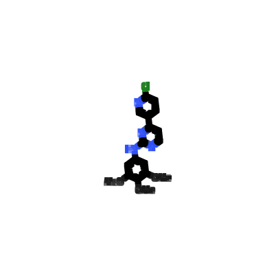 COc1cc(Nc2nccc(-c3ccc(Cl)nc3)n2)cc(OC)c1OC